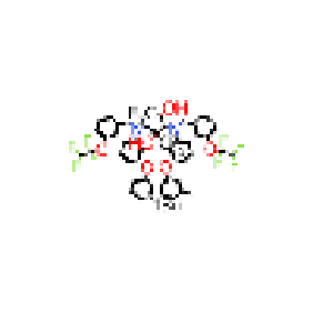 Cc1cccc(Oc2cccc(N(Cc3cccc(OC(F)(F)C(F)F)c3)C(C(O)C(F)(F)F)[C@](O)(CN(Cc3cccc(OC(F)(F)C(F)F)c3)c3cccc(Oc4cccc(C(C)(C)C)c4)c3)C(F)(F)F)c2)c1